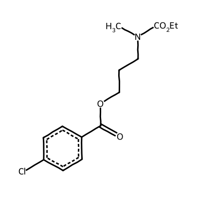 CCOC(=O)N(C)CCCOC(=O)c1ccc(Cl)cc1